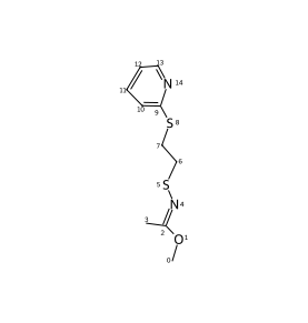 CO/C(C)=N/SCCSc1ccccn1